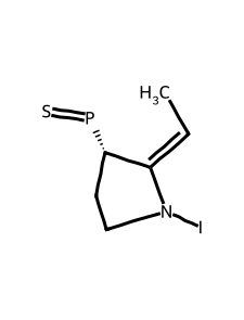 C/C=C1\[C@@H](P=S)CCN1I